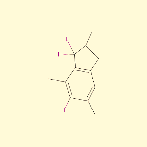 Cc1cc2c(c(C)c1I)C(I)(I)C(C)C2